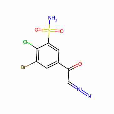 [N-]=[N+]=CC(=O)c1cc(Br)c(Cl)c(S(N)(=O)=O)c1